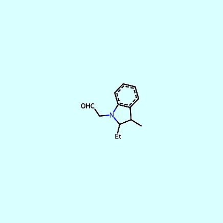 CCC1C(C)c2ccccc2N1CC=O